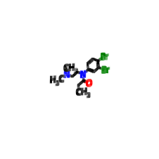 CCC(=O)N(CCN(C)C)c1ccc(Br)c(Br)c1